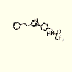 O=C(NCc1ccc(-n2cc(CCc3ccccc3)cn2)cc1)C(F)(F)F